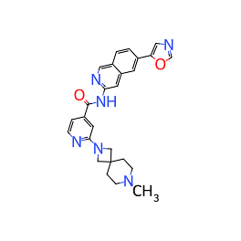 CN1CCC2(CC1)CN(c1cc(C(=O)Nc3cc4cc(-c5cnco5)ccc4cn3)ccn1)C2